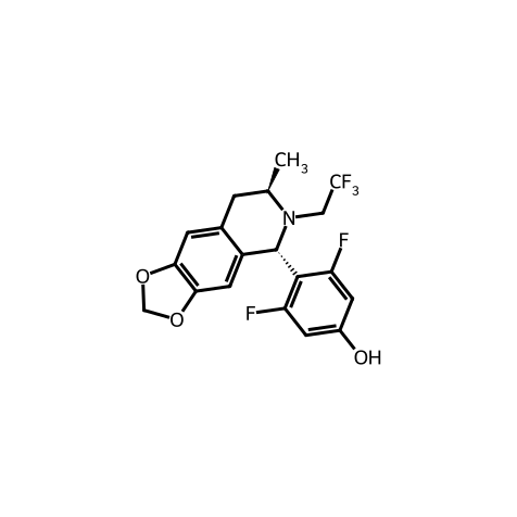 C[C@@H]1Cc2cc3c(cc2[C@@H](c2c(F)cc(O)cc2F)N1CC(F)(F)F)OCO3